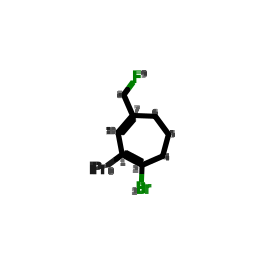 CC(C)C1=C(Br)CCCC(CF)=C1